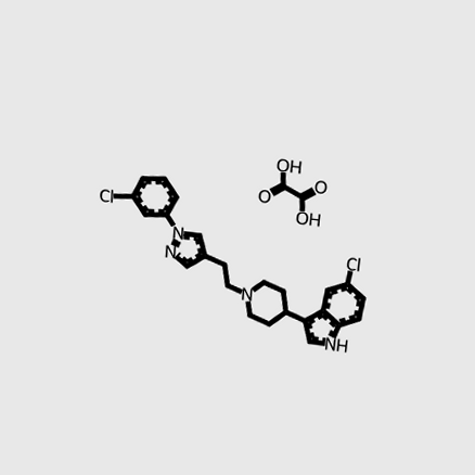 Clc1cccc(-n2cc(CCN3CCC(c4c[nH]c5ccc(Cl)cc45)CC3)cn2)c1.O=C(O)C(=O)O